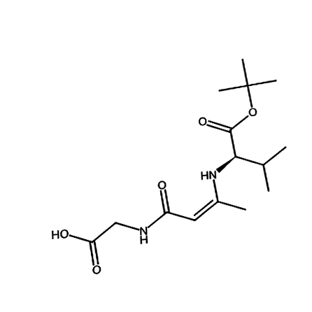 CC(=CC(=O)NCC(=O)O)N[C@@H](C(=O)OC(C)(C)C)C(C)C